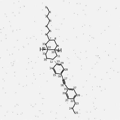 CCCCCCCC1CC[C@@H]2C[C@H](c3ccc(C#Cc4ccc(CCC)cc4)cc3)CC[C@@H]2C1